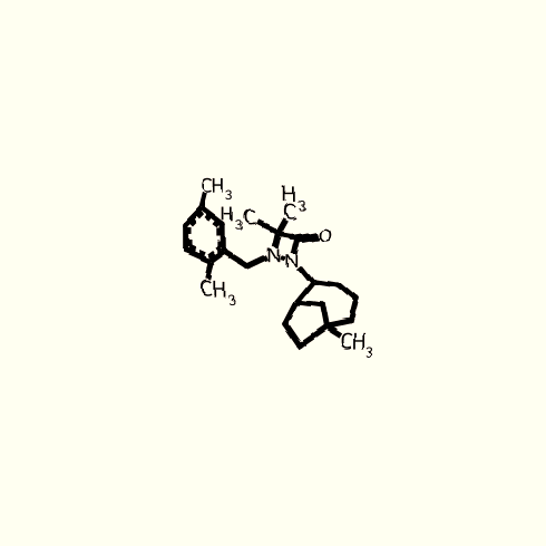 Cc1ccc(C)c(CN2N(C3CCCC4(C)CCC3C4)C(=O)C2(C)C)c1